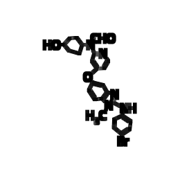 Cn1c(Nc2ccc(Br)cc2)nc2cc(Oc3ccnc(N(C=O)C4CCC(O)CC4)c3)ccc21